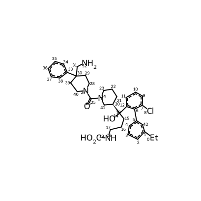 CCc1cccc(-c2c(Cl)cccc2C(O)(CCCNC(=O)O)[C@@H]2CCCN(C(=O)N3CCC(CN)(c4ccccc4)CC3)C2)c1